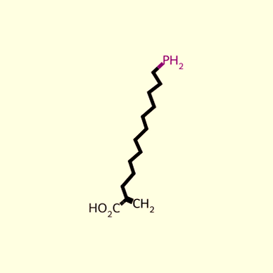 C=C(CCCCCCCCCCCP)C(=O)O